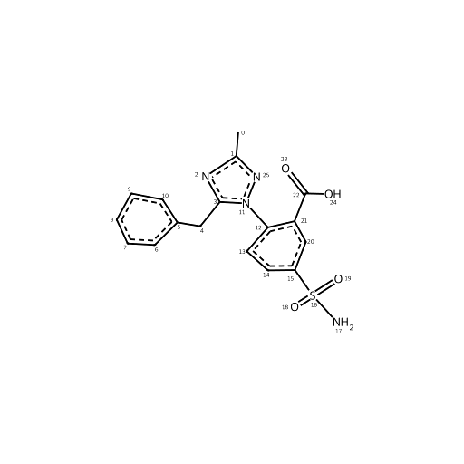 Cc1nc(Cc2ccccc2)n(-c2ccc(S(N)(=O)=O)cc2C(=O)O)n1